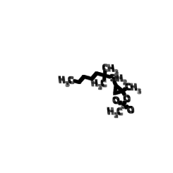 CCCCCC(C)(C)[SiH2]C1CC1(C)OS(C)(=O)=O